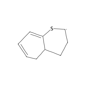 [CH]1CCC2CC=CC=C2S1